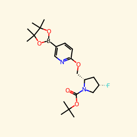 CC(C)(C)OC(=O)N1C[C@@H](F)C[C@H]1COc1ccc(B2OC(C)(C)C(C)(C)O2)cn1